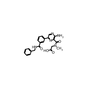 CN(CC(=O)O)C(=O)c1nc(-c2cccc(C(=O)NCc3ccccc3)c2)cnc1N